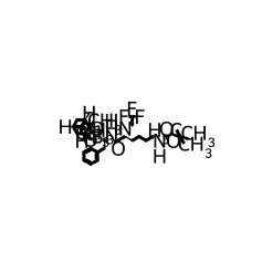 CC(C)(C)OC(=O)NCCCC[C@H](NCC(F)(F)F)C(=O)N[C@@H](Cc1ccccc1)B1O[C@@H]2C[C@@H]3C[C@@H](C3(C)C)[C@]2(C)O1